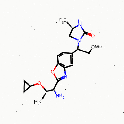 COCC(c1ccc2oc([C@@H](N)[C@@H](C)OC3CC3)nc2c1)N1C[C@@H](C(F)(F)F)NC1=O